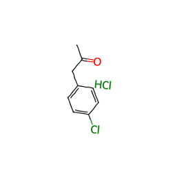 CC(=O)Cc1ccc(Cl)cc1.Cl